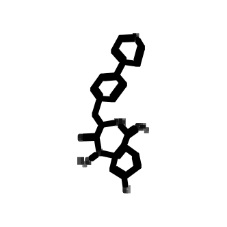 C=C1NC(Cc2ccc(-c3ccncc3)cc2)C(=O)N(C)c2cc(Cl)ccc21